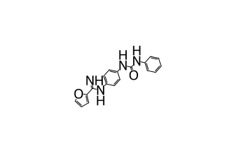 N=C(Nc1ccc(NC(=O)Nc2ccccc2)cc1)c1ccco1